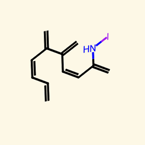 C=C/C=C\C(=C)C(=C)/C=C\C(=C)NI